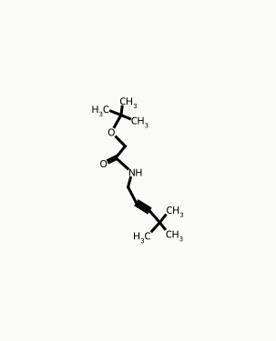 CC(C)(C)C#CCNC(=O)COC(C)(C)C